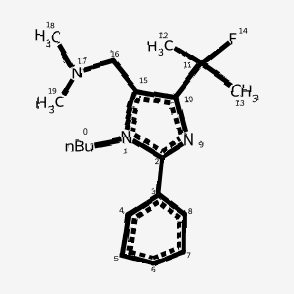 CCCCn1c(-c2ccccc2)nc(C(C)(C)F)c1CN(C)C